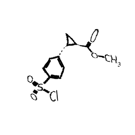 COC(=O)[C@@H]1C[C@H]1c1ccc(S(=O)(=O)Cl)cc1